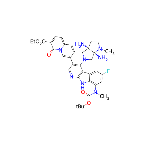 CCOC(=O)c1ccc2ccc(-c3cnc4[nH]c5c(N(C)C(=O)OC(C)(C)C)cc(F)cc5c4c3N3C[C@]4(N)CCN(C)[C@]4(N)C3)cn2c1=O